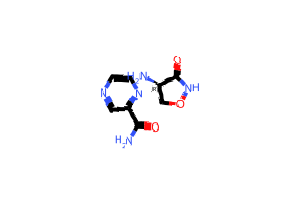 NC(=O)c1cnccn1.N[C@@H]1CONC1=O